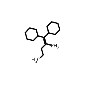 CCCC(P)=C(C1CCCCC1)C1CCCCC1